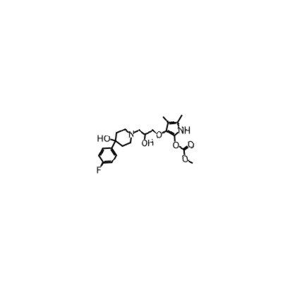 COC(=O)Oc1[nH]c(C)c(C)c1OCC(O)CN1CCC(O)(c2ccc(F)cc2)CC1